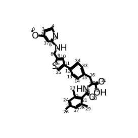 COc1ccnc(NCc2cc(-c3ccc(CC(NC(=O)c4c(C)cc(C)cc4C)C(=O)O)cc3)cs2)c1